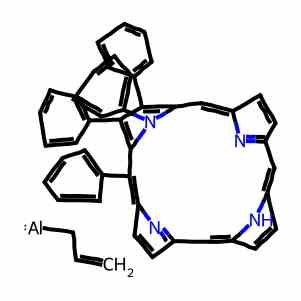 C1=Cc2cc3c(-c4ccccc4)c(-c4ccccc4)c(c(-c4ccccc4)c4nc(cc5ccc(cc1n2)[nH]5)C=C4)n3-c1ccccc1.C=C[CH2][Al]